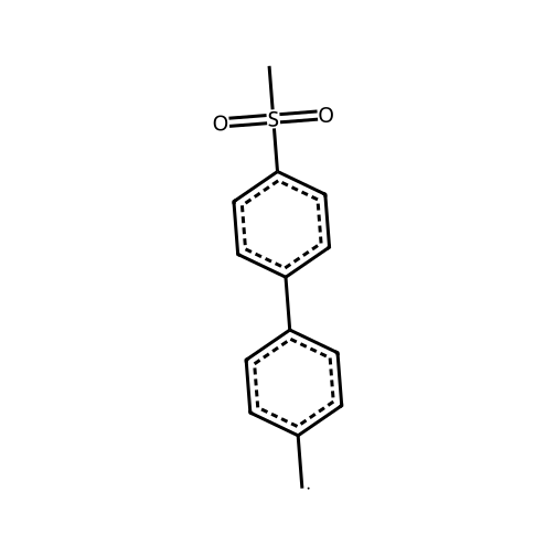 [CH2]c1ccc(-c2ccc(S(C)(=O)=O)cc2)cc1